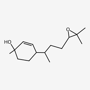 CC(CCC1OC1(C)C)C1C=CC(C)(O)CC1